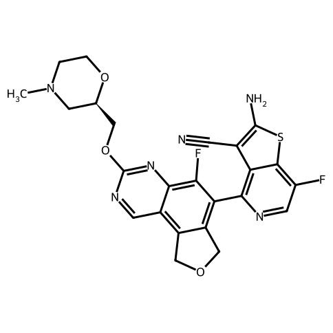 CN1CCO[C@@H](COc2ncc3c4c(c(-c5ncc(F)c6sc(N)c(C#N)c56)c(F)c3n2)COC4)C1